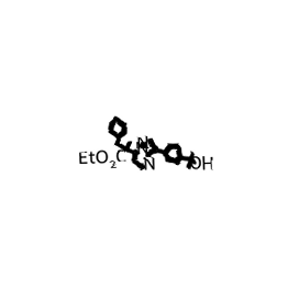 CCOC(=O)C(C)(Cc1ccccc1)c1ccnc2c(-c3ccc(C(C)(C)O)cc3)cnn12